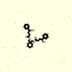 O=C(CCC(S)c1ccccc1)OCC1(COC(=O)CCC(S)c2ccccc2)CCCCC1